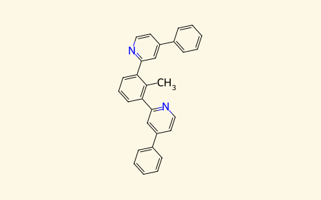 Cc1c(-c2cc(-c3ccccc3)ccn2)cccc1-c1cc(-c2ccccc2)ccn1